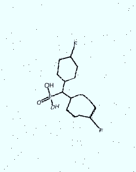 O=P(O)(O)C(C1CCC(F)CC1)C1CCC(F)CC1